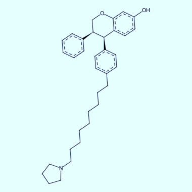 Oc1ccc2c(c1)OC[C@H](c1ccccc1)[C@@H]2c1ccc(CCCCCCCCCN2CCCC2)cc1